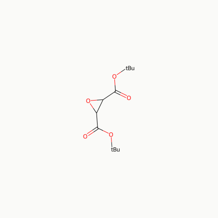 CC(C)(C)OC(=O)C1OC1C(=O)OC(C)(C)C